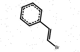 BrC=Cc1cc[c]cc1